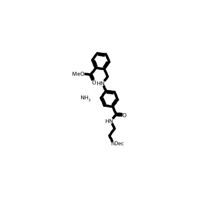 CCCCCCCCCCCCNC(=O)c1ccc(NCc2ccccc2C(=O)OC)cc1.N